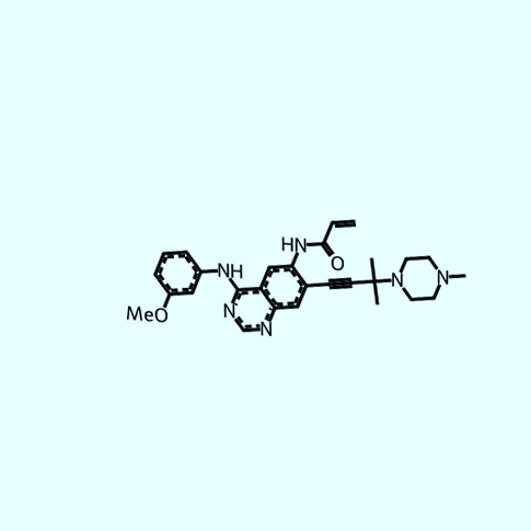 C=CC(=O)Nc1cc2c(Nc3cccc(OC)c3)ncnc2cc1C#CC(C)(C)N1CCN(C)CC1